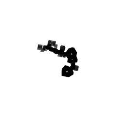 CN(C)C/C=C/C(=O)Nc1cccc2c1CN(C(=O)c1ccccc1)C2